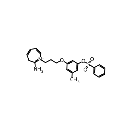 Cc1cc(OCCC[N+]2=C(N)CC=CC=C2)cc(OS(=O)(=O)c2ccccc2)c1